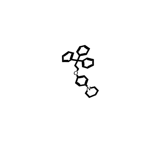 c1ccc(C(CCOc2ccc(N3CCCCC3)cc2)(c2ccccc2)c2ccccc2)cc1